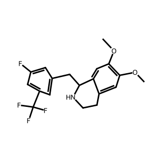 COc1cc2c(cc1OC)C(Cc1cc(F)cc(C(F)(F)F)c1)NCC2